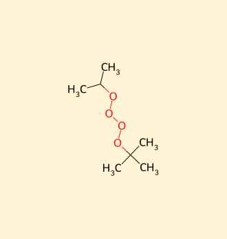 CC(C)OOOOC(C)(C)C